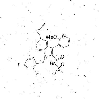 COc1ncccc1-c1c(C(=O)NS(C)(=O)=O)n(Cc2ccc(F)cc2F)c2c1=CC([C@H]1C[C@H]1C)CC=2